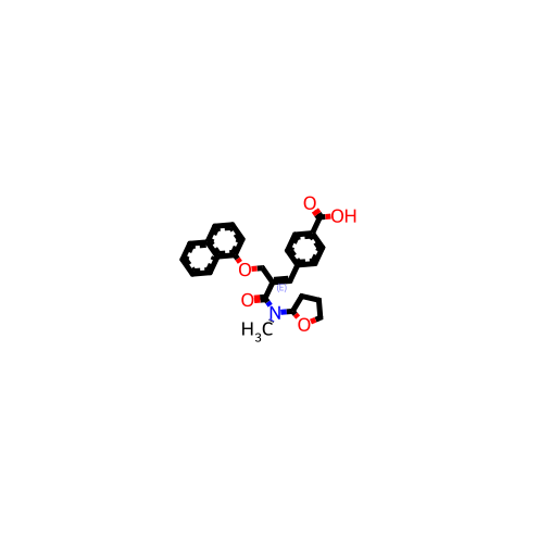 CN(C(=O)/C(=C/c1ccc(C(=O)O)cc1)COc1cccc2ccccc12)C1CCCO1